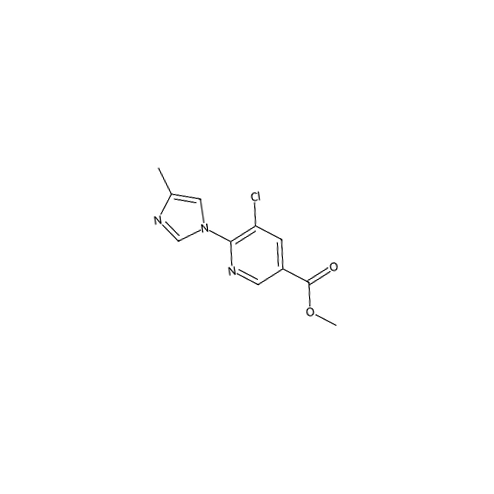 COC(=O)c1cnc(-n2cnc(C)c2)c(Cl)c1